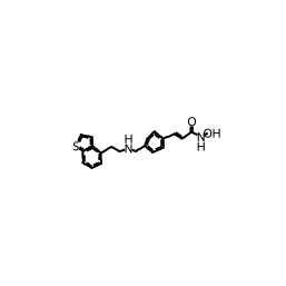 O=C(/C=C/c1ccc(CNCCc2cccc3sccc23)cc1)NO